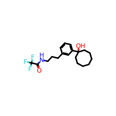 O=C(NCCCc1cccc(C2(O)CCCCCCC2)c1)C(F)(F)F